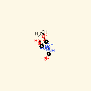 C=C(C)C(=O)OCOc1ccc(Nc2nc(Nc3ccc(OCO)cc3)nc(Nc3ccc(OCO)cc3)n2)cc1